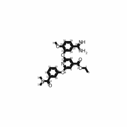 CCOC(=O)c1cc(Oc2cccc(C(=O)N(C)C)c2)nc(Oc2cc(C(=N)N)ccc2OC)c1